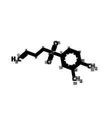 C=CCCS(=O)(=O)c1ccc(C)c(C)c1